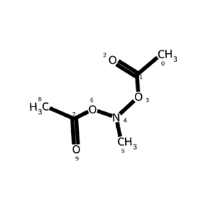 CC(=O)ON(C)OC(C)=O